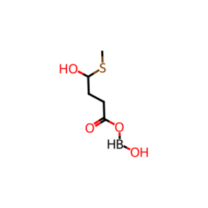 CSC(O)CCC(=O)OBO